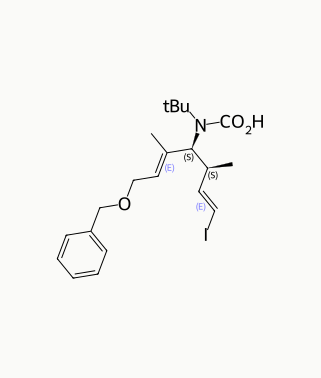 C/C(=C\COCc1ccccc1)[C@H]([C@@H](C)/C=C/I)N(C(=O)O)C(C)(C)C